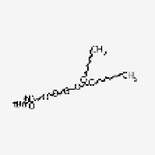 C=CCCCCCCCOCC(COCCOCCOCCOCCNC(=O)OC(C)(C)C)OCCCCCCCC=C